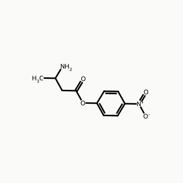 CC(N)CC(=O)Oc1ccc([N+](=O)[O-])cc1